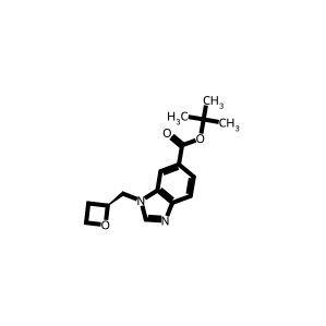 CC(C)(C)OC(=O)c1ccc2ncn(C[C@@H]3CCO3)c2c1